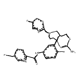 NC1=NC2(c3cc(NC(=O)c4ccc(F)cn4)ccc3F)CN(c3ncc(F)cn3)CC2CS1